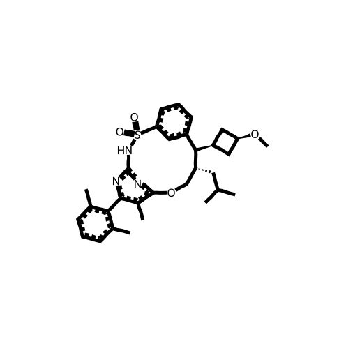 CO[C@H]1C[C@@H](C2c3cccc(c3)S(=O)(=O)Nc3nc(c(C)c(-c4c(C)cccc4C)n3)OC[C@H]2CC(C)C)C1